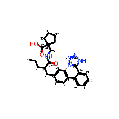 CCCC(Cc1ccc(-c2ccccc2-c2nnn[nH]2)cc1)C(=O)NCC1(C(=O)O)CCCC1